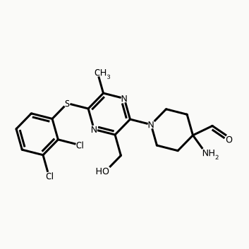 Cc1nc(N2CCC(N)(C=O)CC2)c(CO)nc1Sc1cccc(Cl)c1Cl